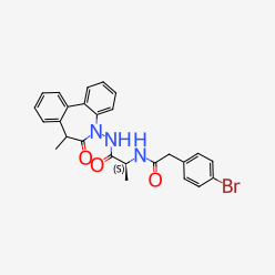 CC1C(=O)N(NC(=O)[C@H](C)NC(=O)Cc2ccc(Br)cc2)c2ccccc2-c2ccccc21